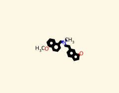 COc1cccc2c1CCCC2CN(C)CCc1ccc2c(c1)C(=O)CC2